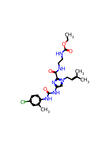 CCOC(=O)NCCNC(=O)c1nc(NC(=O)Nc2ccc(Cl)cc2C)cn1CC=C(C)C